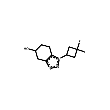 OC1CCc2c(nnn2C2CC(F)(F)C2)C1